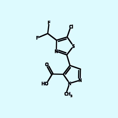 Cn1ncc(-c2nc(C(F)F)c(Cl)s2)c1C(=O)O